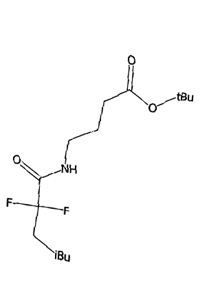 CCC(C)CC(F)(F)C(=O)NCCCC(=O)OC(C)(C)C